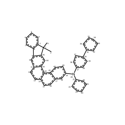 CC1(C)c2ccccc2-c2cc3ccc4ccc5cc(N(c6ccccc6)c6ccc(-c7ccccc7)cc6)ccc5c4c3cc21